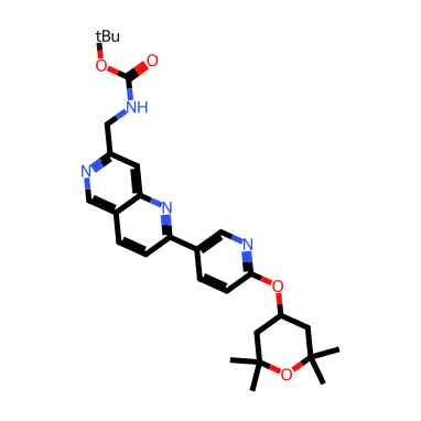 CC(C)(C)OC(=O)NCc1cc2nc(-c3ccc(OC4CC(C)(C)OC(C)(C)C4)nc3)ccc2cn1